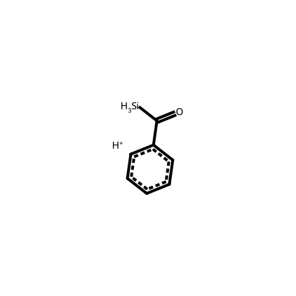 O=C([SiH3])c1ccccc1.[H+]